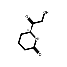 O=C1CCC[C@@H](C(=O)CO)N1